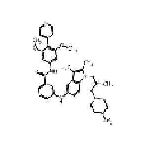 COc1cc(NC(=O)c2cccc(Nc3ccc4c(c3)c(C)c(C)n4CC(C)CN3CCN(C)CC3)c2)cc(OC)c1-c1ccncc1